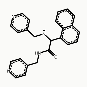 O=C(NCc1ccncc1)C(NCc1ccncc1)c1cccc2ccccc12